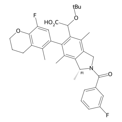 Cc1c(-c2c(C)c3c(c(C)c2C(OC(C)(C)C)C(=O)O)CN(C(=O)c2cccc(F)c2)[C@@H]3C)cc(F)c2c1CCCO2